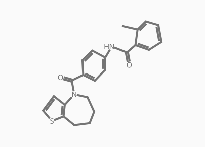 Cc1ccccc1C(=O)Nc1ccc(C(=O)N2CCCCc3sccc32)cc1